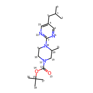 CC(C)Cc1cnc(N2CCN(C(=O)OC(C)(C)C)CC2C)nc1